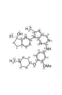 CC[C@@]1(O)CCc2ccc(-n3c(C)cc4cnc(Nc5ccc(OC6CCN(C)CC6)c(OC)c5)nc43)nc21